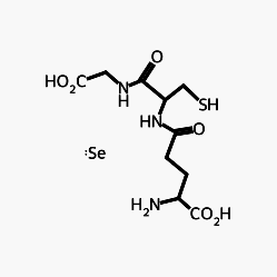 NC(CCC(=O)NC(CS)C(=O)NCC(=O)O)C(=O)O.[Se]